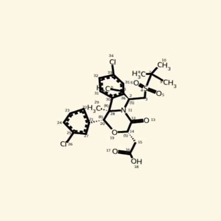 CC[C@@H](CS(=O)(=O)C(C)(C)C)N1C(=O)[C@H](CC(=O)O)O[C@H](c2cccc(Cl)c2)[C@@]1(C)c1ccc(Cl)cc1